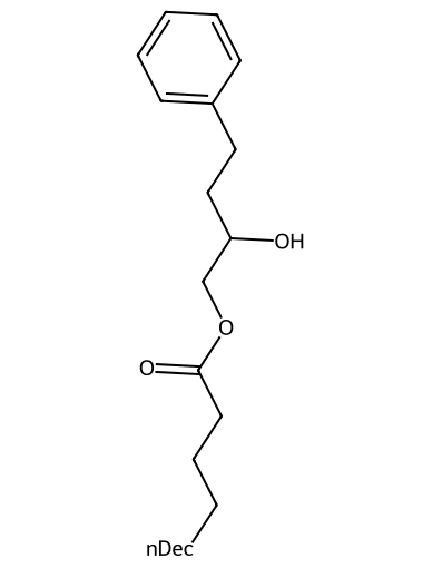 CCCCCCCCCCCCCC(=O)OCC(O)CCc1ccccc1